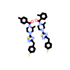 Cc1ccc(C(=O)N2CCN(c3nc(Cc4ccc(F)cc4)ns3)CC2C)cc1.Cc1ccccc1C(=O)N1CCN(c2nc(Cc3ccc(F)cc3)ns2)CC1C